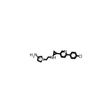 N[C@@H]1CCN(CCNC2CC2c2ccc(-c3ccc(Cl)cc3)nc2)C1